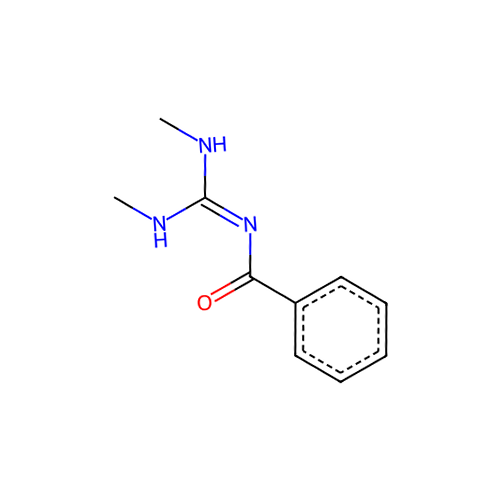 CNC(=NC(=O)c1ccccc1)NC